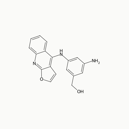 Nc1cc(CO)cc(Nc2c3ccccc3nc3occc23)c1